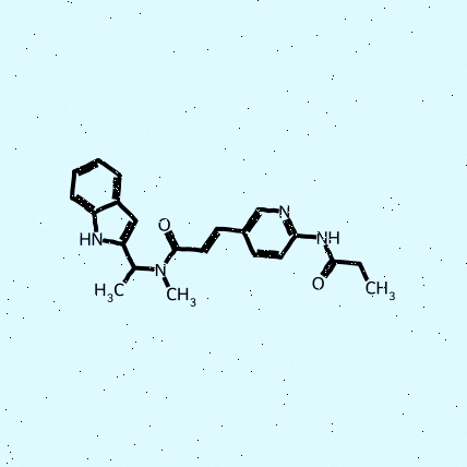 CCC(=O)Nc1ccc(C=CC(=O)N(C)C(C)c2cc3ccccc3[nH]2)cn1